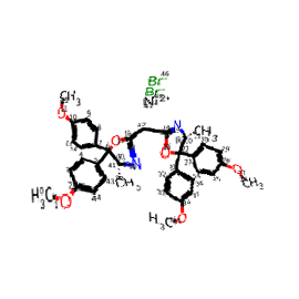 COc1ccc(C2(c3ccc(OC)cc3)OC(CC3=N[C@H](C)C(c4ccc(OC)cc4)(c4ccc(OC)cc4)O3)=N[C@@H]2C)cc1.[Br-].[Br-].[Ni+2]